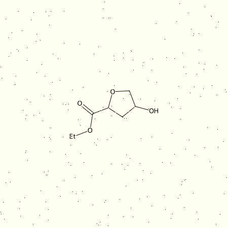 CCOC(=O)C1CC(O)CO1